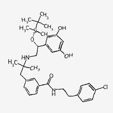 CC(C)(Cc1cccc(C(=O)NCCc2ccc(Cl)cc2)c1)NCC(O[Si](C)(C)C(C)(C)C)c1cc(O)cc(O)c1